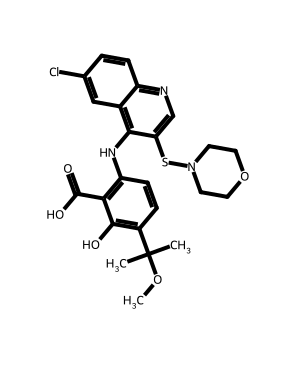 COC(C)(C)c1ccc(Nc2c(SN3CCOCC3)cnc3ccc(Cl)cc23)c(C(=O)O)c1O